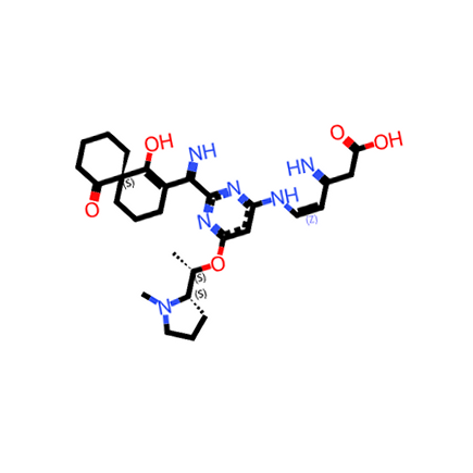 C[C@H](Oc1cc(N/C=C\C(=N)CC(=O)O)nc(C(=N)C2=C(O)[C@]3(CCCCC3=O)CCC2)n1)[C@@H]1CCCN1C